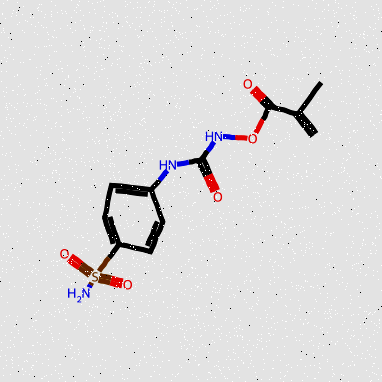 C=C(C)C(=O)ONC(=O)Nc1ccc(S(N)(=O)=O)cc1